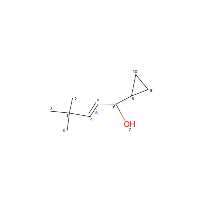 CC(C)(C)/C=C/C(O)C1CC1